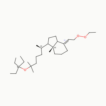 CCOOC/C=C1\CCC[C@@]2(C)C1CCC2[C@H](C)CCCC(C)(C)O[Si](CC)(CC)CC